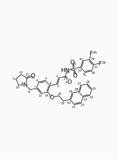 O=C(C=Cc1ccc(CN2CCCC2=O)cc1OCCc1ccc2ccccc2c1)NS(=O)(=O)c1ccc(F)c(F)c1